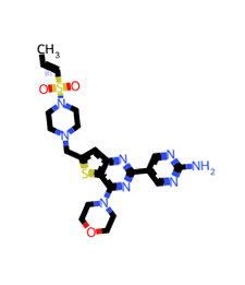 C/C=C/S(=O)(=O)N1CCN(Cc2cc3nc(-c4cnc(N)nc4)nc(N4CCOCC4)c3s2)CC1